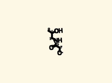 CC(O)CNC(=O)C[O]